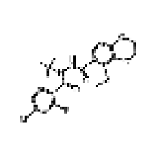 CCc1c(C(=O)NN(C(=O)c2ccc(Cl)cc2F)C(C)(C)C)ccc2c1OCCO2